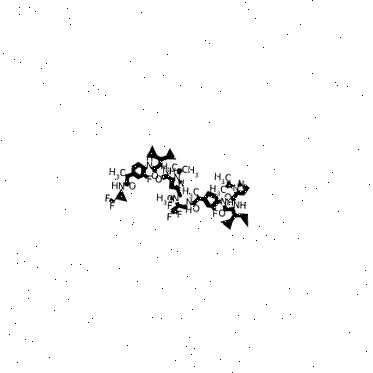 CC(C)n1nccc1C(=O)N[C@H](C(=O)Nc1ccc([C@H](C)C(=O)NCC(N(C)Cc2cc(C(=O)N[C@H](C(=O)Nc3ccc([C@H](C)C(=O)N[C@@H]4C[C@@H]4C(F)F)cc3F)C(C3CC3)C3CC3)n(C(C)C)n2)C(F)(F)F)cc1F)C(C1CC1)C1CC1